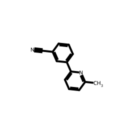 Cc1cccc(-c2cccc(C#N)c2)n1